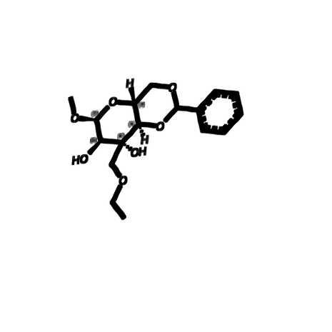 CCOC[C@]1(O)[C@@H]2OC(c3ccccc3)OC[C@H]2O[C@H](OC)[C@@H]1O